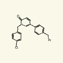 CC(C)Cc1ccc(-c2ccc(=O)n(Cc3ccc(Cl)cc3)c2)cc1